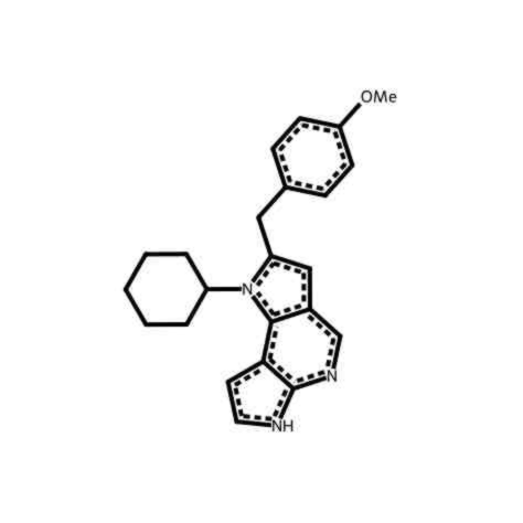 COc1ccc(Cc2cc3cnc4[nH]ccc4c3n2C2CCCCC2)cc1